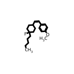 CCCCCC1(F)CCC(/C=C\c2ccc(OC)cc2)CC1